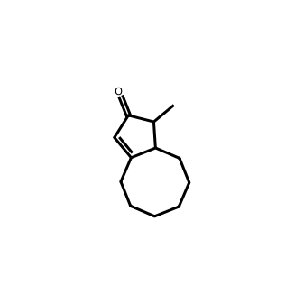 CC1C(=O)C=C2CCCCCCC21